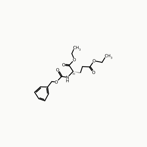 CCOC(=O)CC[C@H](NC(=O)OCc1ccccc1)C(=O)OCC